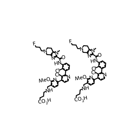 COc1nc(-c2ccnc(-c3cccc(NC(=O)c4nc5c(n4C)CCN(CCCF)C5)c3Cl)c2Cl)ccc1CNCCCC(=O)O.COc1nc(-c2ccnc(-c3cccc(NC(=O)c4nc5c(n4C)CCN(CCCF)C5)c3Cl)c2Cl)ccc1CNCCCC(=O)O